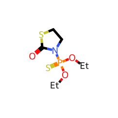 CCOP(=S)(OCC)N1CCSC1=O